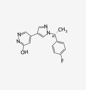 C[C@H](c1ccc(F)cc1)n1cc(-c2cnnc(O)c2)cn1